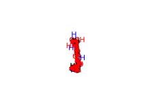 O=C(c1ccc(CNC(=O)C2(Cc3ccc(CNC[C@H](O)c4ccc(O)c5[nH]c(=O)ccc45)cc3)CC2)cc1)N1CCC(C(=O)O[C@H]2CN3CCC2CC3)(c2ccccc2)CC1